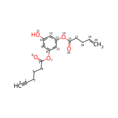 C#CCCCC(=O)Oc1cc(O)cc(OC(=O)CCC=C)c1